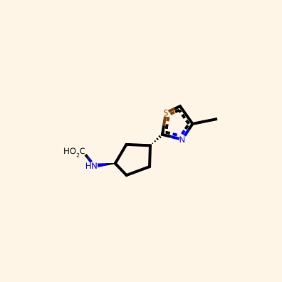 Cc1csc([C@@H]2CC[C@@H](NC(=O)O)C2)n1